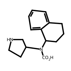 O=C(O)N(C1CCNC1)C1CCCc2ccccc21